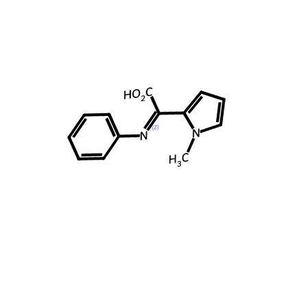 Cn1cccc1/C(=N/c1ccccc1)C(=O)O